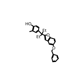 CCC(CC)(c1ccc(O)c(C)c1)c1cc2cc(OCc3ccccc3)ccc2o1